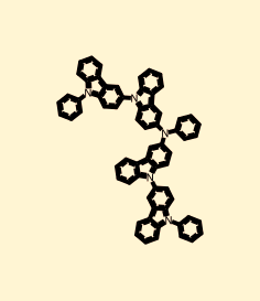 c1ccc(N(c2ccc3c(c2)c2ccccc2n3-c2ccc3c(c2)c2ccccc2n3-c2ccccc2)c2ccc3c(c2)c2ccccc2n3-c2ccc3c(c2)c2ccccc2n3-c2ccccc2)cc1